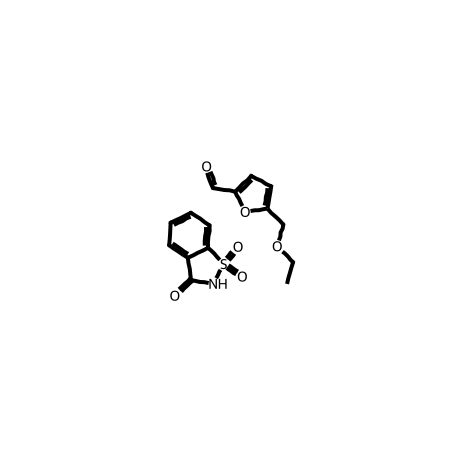 CCOCc1ccc(C=O)o1.O=C1NS(=O)(=O)c2ccccc21